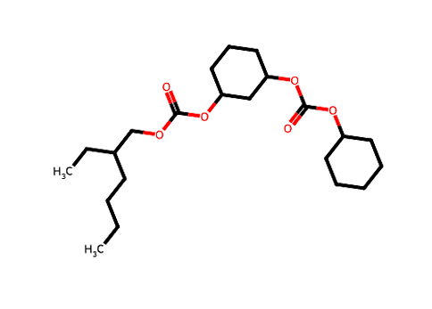 CCCCC(CC)COC(=O)OC1CCCC(OC(=O)OC2CCCCC2)C1